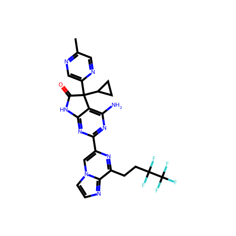 Cc1cnc(C2(C3CC3)C(=O)Nc3nc(-c4cn5ccnc5c(CCC(F)(F)C(F)(F)F)n4)nc(N)c32)cn1